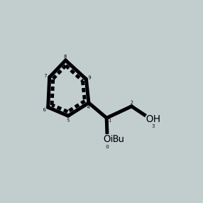 CC(C)COC(CO)c1ccccc1